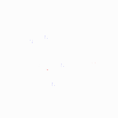 c1ccc(-c2cccc(-n3c4ccccc4c4ccc5c6c7oc8ccccc8c7ccc6n(-c6cccc(-c7nc(-c8ccccc8)c8ccccc8n7)c6)c5c43)c2)cc1